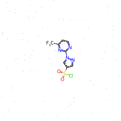 O=S(=O)(Cl)c1cnn(-c2nccc(C(F)(F)F)n2)c1